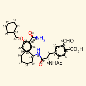 CC(=O)N[C@@H](Cc1ccc(C(=O)O)c(C=O)c1)C(=O)N[C@H]1CCCCc2cc(OCC3CCCCC3)c(C(N)=O)cc21